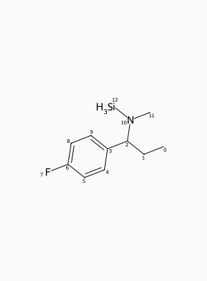 CCC(c1ccc(F)cc1)N(C)[SiH3]